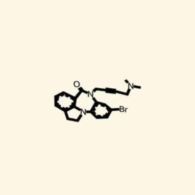 CN(C)CC#CCN1C(=O)c2cccc3c2N(CC3)c2ccc(Br)cc21